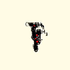 CC1(C)CCC(CN2CCN(c3ccc(C(=O)NS(=O)(=O)c4ccc(OCC5CCC6(CC5)COC6)c([N+](=O)[O-])c4)c(Oc4cnc(N)c(Cl)c4)c3)CC2)=C(c2ccc(Cl)cc2)C1